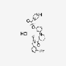 CC(C)c1cccc(CN(C(=O)[C@@H]2CCCN(c3cccc(OC(C)(C)C(=O)N4CCNCC4)c3)C2)C2CC2)c1.Cl